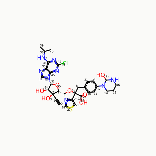 C#C[C@@]1(O)[C@@H](COC(Cc2ccc(N3CCCNC3O)cc2)(C(=O)O)c2cscn2)O[C@@H](n2cnc3c(NC(C)C)nc(Cl)nc32)[C@@H]1O